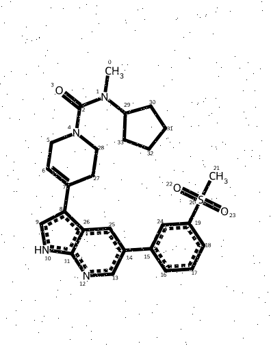 CN(C(=O)N1CC=C(c2c[nH]c3ncc(-c4cccc(S(C)(=O)=O)c4)cc23)CC1)C1CCCC1